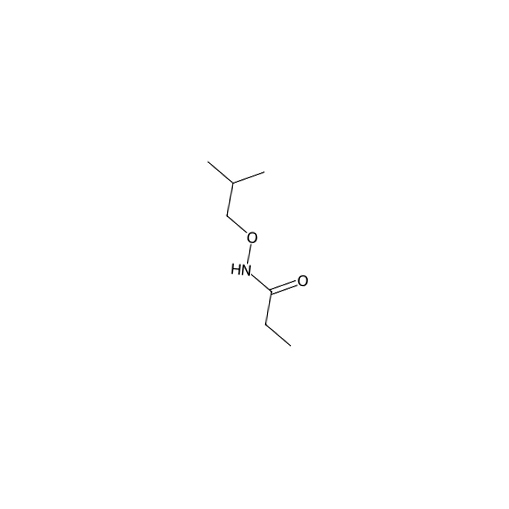 CCC(=O)NOCC(C)C